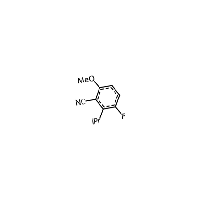 COc1ccc(F)c(C(C)C)c1C#N